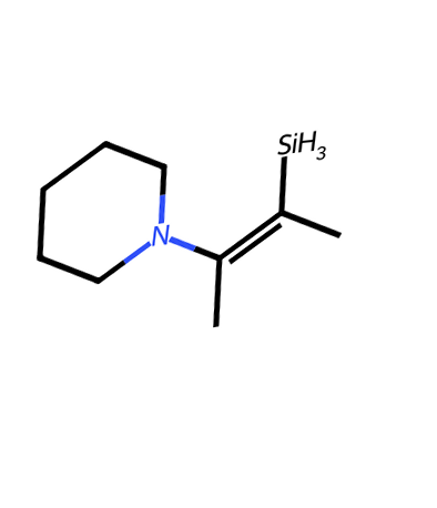 CC([SiH3])=C(C)N1CCCCC1